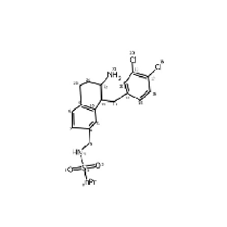 CCCS(=O)(=O)NCc1ccc2c(c1)C(Cc1ccc(Cl)c(Cl)c1)C(N)CC2